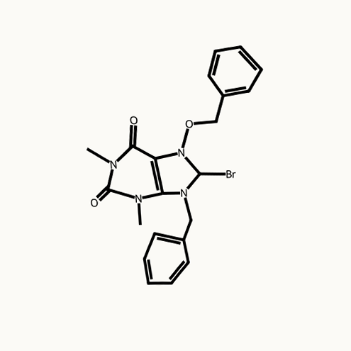 Cn1c2c(c(=O)n(C)c1=O)N(OCc1ccccc1)C(Br)N2Cc1ccccc1